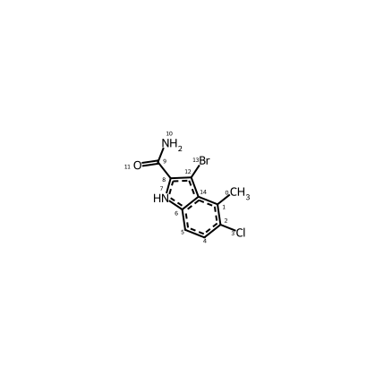 Cc1c(Cl)ccc2[nH]c(C(N)=O)c(Br)c12